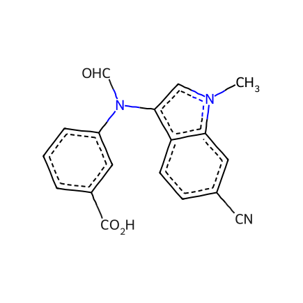 Cn1cc(N(C=O)c2cccc(C(=O)O)c2)c2ccc(C#N)cc21